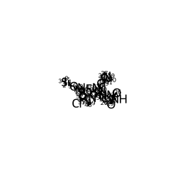 C[Si](C)(C)CCOCn1ncc2c(-c3ncc4c(N5CCC[C@]6(C5)NC(=O)NC6=O)nc(OCC56CCCN5CCC6)nc4c3F)c(C3CC3)c(Cl)cc21